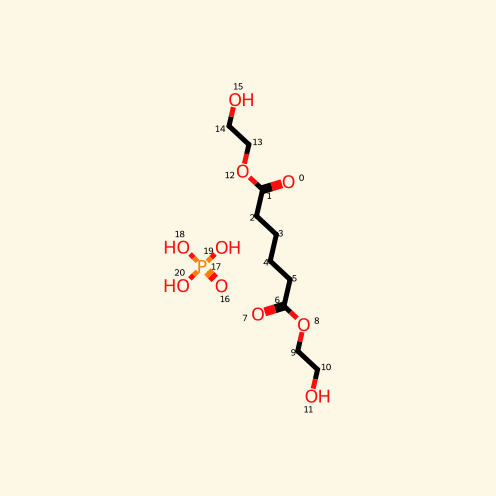 O=C(CCCCC(=O)OCCO)OCCO.O=P(O)(O)O